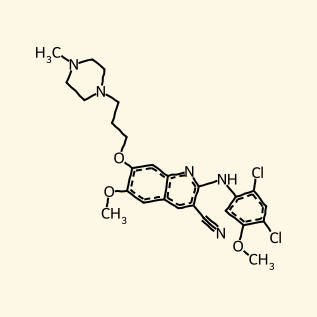 COc1cc(Nc2nc3cc(OCCCN4CCN(C)CC4)c(OC)cc3cc2C#N)c(Cl)cc1Cl